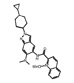 CO[n+]1c(C(=O)Nc2cc3cn(C4CCC(C5CC5)CC4)nc3cc2N(C)C)ccc2ccccc21